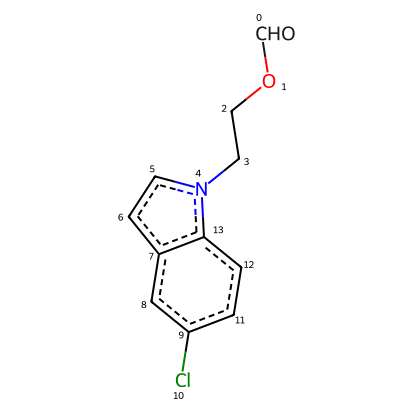 O=COCCn1ccc2cc(Cl)ccc21